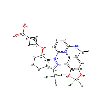 C[C@H](Nc1cccc(-n2nc(C(F)(F)F)c3c2[C@H](OC24CC(C(=O)O)(C2)C4)CCC3)n1)c1ccc2c(c1)OC(F)(F)O2